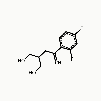 C=C(CC(CO)CO)c1ccc(F)cc1F